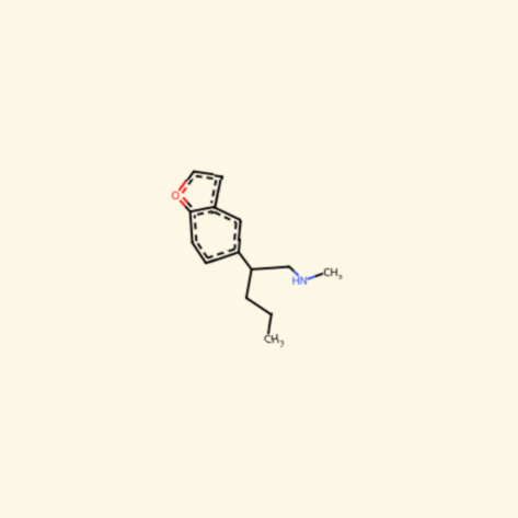 CCCC(CNC)c1ccc2occc2c1